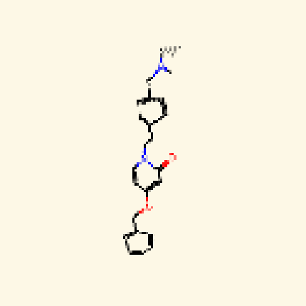 CN(Cc1ccc(CCn2ccc(OCc3ccccc3)cc2=O)cc1)C(=O)O